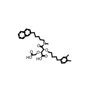 Cc1ccc(CCCCCO[C@@H](C(=O)N(C)CCCCCc2ccc3ccccc3c2)[C@@H](OCC(=O)O)C(=O)O)cc1C